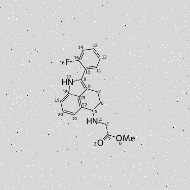 COC(=O)CNC1CCc2c(-c3ccccc3F)[nH]c3cccc1c23